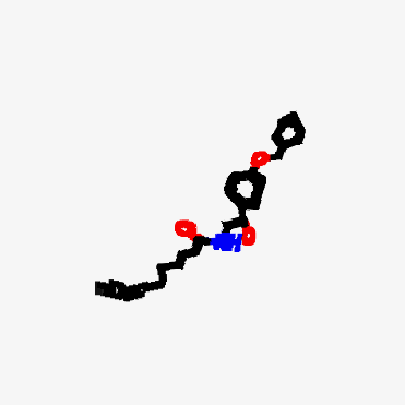 CCCCCCCCCCCCCCCC(=O)NCC(=O)c1ccc(OCc2ccccc2)cc1